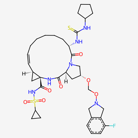 O=C1N[C@]2(C(=O)NS(=O)(=O)C3CC3)C[C@H]2/C=C\CCCCC[C@H](NC(=S)NC2CCCC2)C(=O)N2C[C@H](OCON3Cc4cccc(F)c4C3)C[C@@H]12